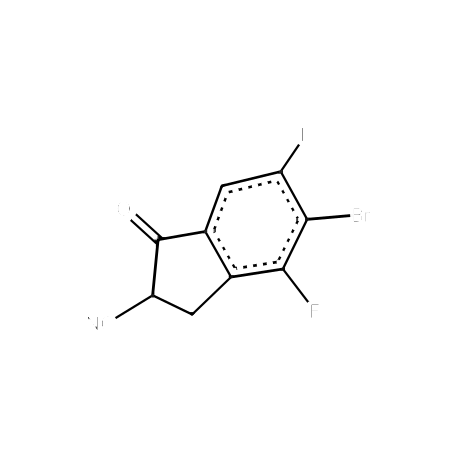 N#CC1Cc2c(cc(F)c(Br)c2F)C1=O